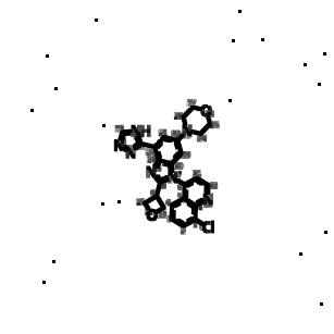 Clc1cccc2c(-n3c(C4COC4)nc4c(-c5nnc[nH]5)cc(N5CCOCC5)cc43)ccnc12